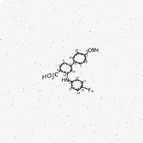 COc1ccc(-c2ccc(C(=O)O)c(Nc3ccc(F)cc3)c2)cc1